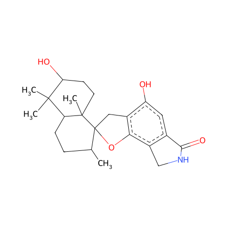 CC1CCC2C(C)(C)C(O)CCC2(C)C12Cc1c(O)cc3c(c1O2)CNC3=O